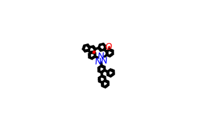 C1=C(c2ccc3ccccc3c2)CCc2oc3cccc(-c4nc(-c5ccccc5)nc(-c5ccc(-c6ccc7ccccc7c6)c(-c6ccccc6)c5)n4)c3c21